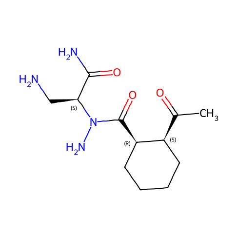 CC(=O)[C@H]1CCCC[C@H]1C(=O)N(N)[C@@H](CN)C(N)=O